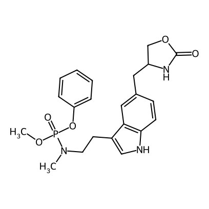 COP(=O)(Oc1ccccc1)N(C)CCc1c[nH]c2ccc(CC3COC(=O)N3)cc12